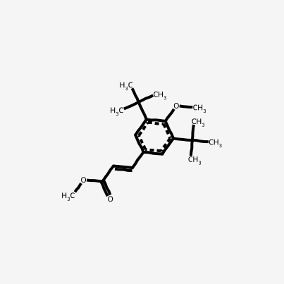 COC(=O)/C=C/c1cc(C(C)(C)C)c(OC)c(C(C)(C)C)c1